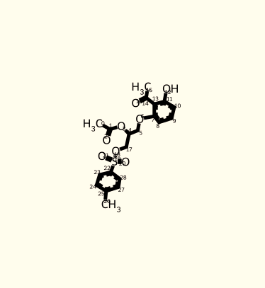 CC(=O)OC(COc1cccc(O)c1C(C)=O)COS(=O)(=O)c1ccc(C)cc1